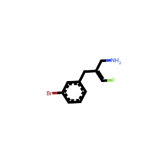 NCC(=CF)Cc1cccc(Br)c1